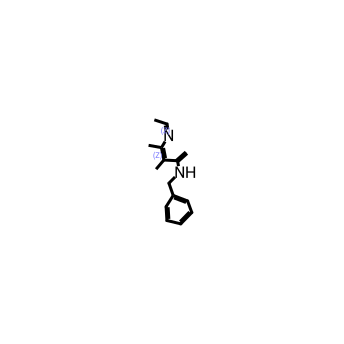 C=C(NCc1ccccc1)/C(C)=C(C)\N=C/C